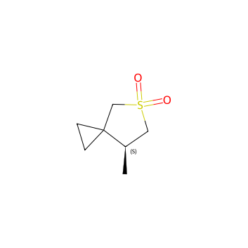 C[C@@H]1CS(=O)(=O)CC12CC2